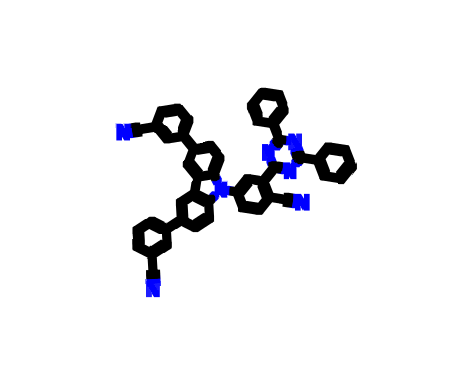 N#Cc1cccc(-c2ccc3c(c2)c2cc(-c4cccc(C#N)c4)ccc2n3-c2ccc(C#N)c(-c3nc(-c4ccccc4)nc(-c4ccccc4)n3)c2)c1